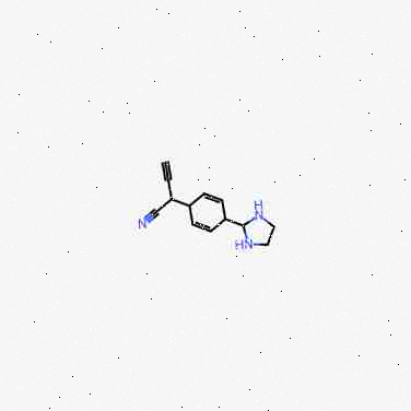 C#CC(C#N)C1C=CC(C2NCCN2)C=C1